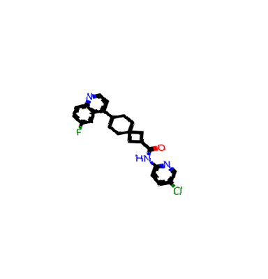 O=C(Nc1ccc(Cl)cn1)C1CC2(CCC(c3ccnc4ccc(F)cc34)CC2)C1